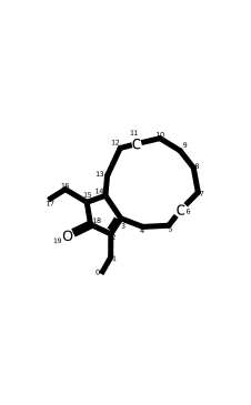 CCC1=C2CCCCCCCCCCC2C(CC)C1=O